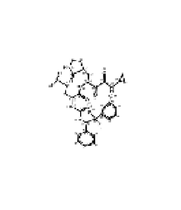 O=C(N[C@@H](CCC(F)F)C(=O)N[C@@H](C[C@@H]1CCNC1=O)C(=O)C(=O)NC1CC1)O[C@H](c1ccccc1)C(F)(F)c1cccc(Cl)c1